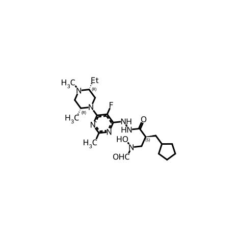 CC[C@@H]1CN(c2nc(C)nc(NNC(=O)[C@@H](CC3CCCC3)CN(O)C=O)c2F)[C@H](C)CN1C